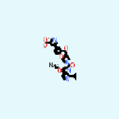 CCOc1cc(C(=O)N2CCC3(CC2)CC(=O)c2cc(-c4cncc(C(=O)[O-])c4)ccc2O3)nc2c(C3CC3)nccc12.[Na+]